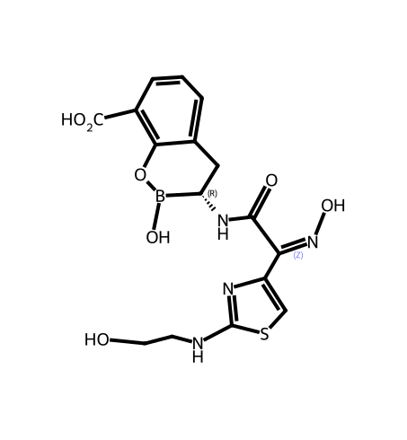 O=C(N[C@H]1Cc2cccc(C(=O)O)c2OB1O)/C(=N\O)c1csc(NCCO)n1